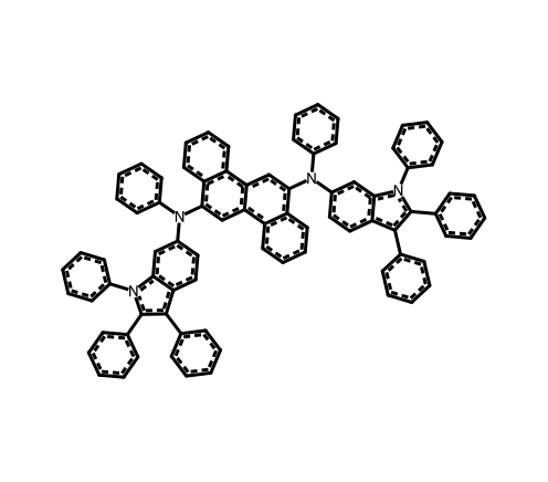 c1ccc(-c2c(-c3ccccc3)n(-c3ccccc3)c3cc(N(c4ccccc4)c4cc5c6ccccc6c(N(c6ccccc6)c6ccc7c(-c8ccccc8)c(-c8ccccc8)n(-c8ccccc8)c7c6)cc5c5ccccc45)ccc23)cc1